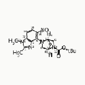 Cc1nc2c(N3C[C@H]4C[C@@H]3CN4C(=O)OC(C)(C)C)c([N+](=O)[O-])ccc2n1C